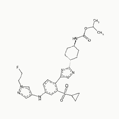 CC(C)OC(=O)N[C@H]1CC[C@H](c2ncc(-c3ccc(Nc4cnn(CCF)c4)cc3S(=O)(=O)C3CC3)s2)CC1